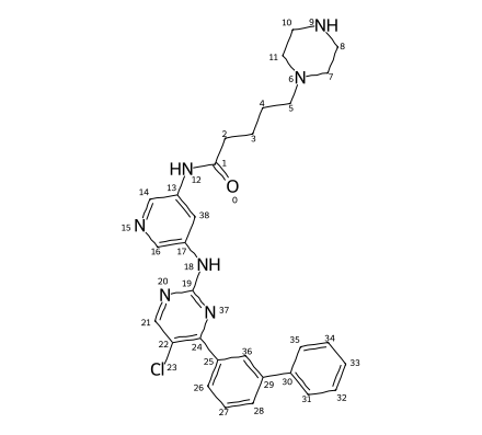 O=C(CCCCN1CCNCC1)Nc1cncc(Nc2ncc(Cl)c(-c3cccc(-c4ccccc4)c3)n2)c1